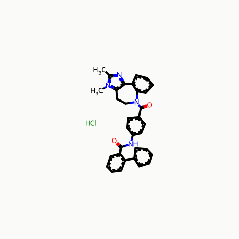 Cc1nc2c(n1C)CCN(C(=O)c1ccc(NC(=O)c3ccccc3-c3ccccc3)cc1)c1ccccc1-2.Cl